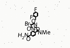 CNC(=O)c1ccc(C(N)=O)cc1-n1c(C)nc(OCc2ccc(F)cc2F)c(Br)c1=O